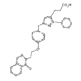 O=C(O)CCc1cn(Cc2ccc(OCCn3ncc4ccccc4c3=O)cc2)nc1-c1ccccc1